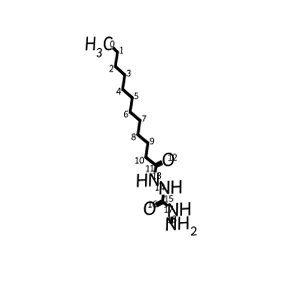 CCCCCCCCCCCC(=O)NNC(=O)NN